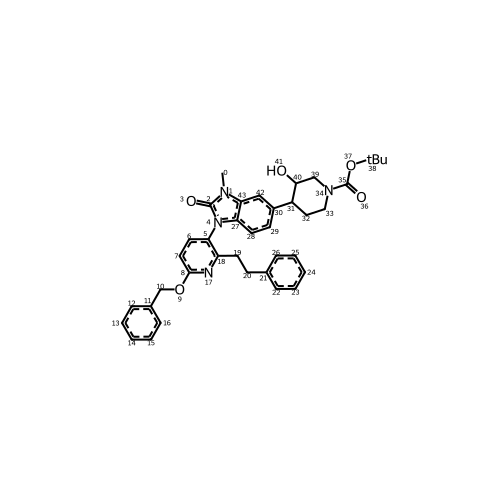 Cn1c(=O)n(-c2ccc(OCc3ccccc3)nc2CCc2ccccc2)c2ccc(C3CCN(C(=O)OC(C)(C)C)CC3O)cc21